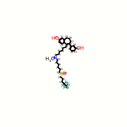 CN(CCCCCCC1=C(c2cccc(O)c2)CCCc2cc(O)ccc21)CCCCCC[S+]([O-])CCCC(F)(F)C(F)(F)F